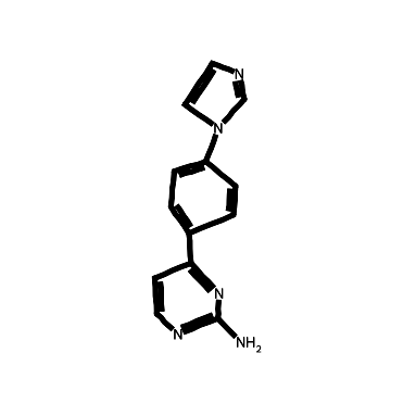 Nc1nccc(-c2ccc(-n3ccnc3)cc2)n1